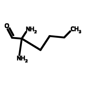 CCCCC(N)(N)C=O